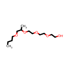 CCCCOCC(C)OCCOCCOCCO